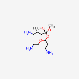 CO[Si](CCCN)(OC)OC(CCN)OCCN